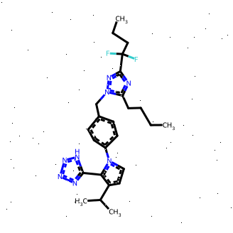 CCCCc1nc(C(F)(F)CCC)nn1Cc1ccc(-n2ccc(C(C)C)c2-c2nnn[nH]2)cc1